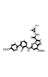 CNc1cc(Nc2cccc(-c3ccc(C=O)cn3)c2F)nn2c(C(=O)N[C@@H]3C[C@@H]3F)cnc12